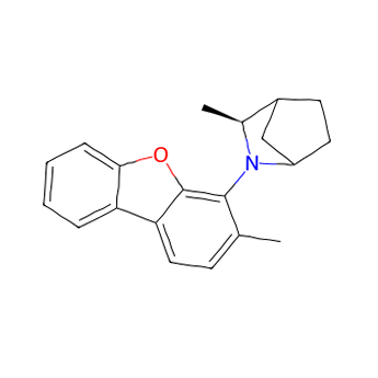 Cc1ccc2c(oc3ccccc32)c1N1C2CCC(C2)[C@@H]1C